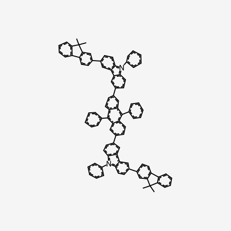 CC1(C)c2ccccc2-c2ccc(-c3ccc4c(c3)c3cc(-c5ccc6c(-c7ccccc7)c7cc(-c8ccc9c(c8)c8cc(-c%10ccc%11c(c%10)C(C)(C)c%10ccccc%10-%11)ccc8n9-c8ccccc8)ccc7c(-c7ccccc7)c6c5)ccc3n4-c3ccccc3)cc21